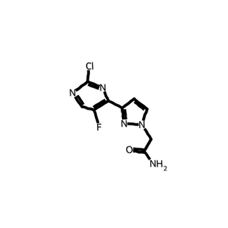 NC(=O)Cn1ccc(-c2nc(Cl)ncc2F)n1